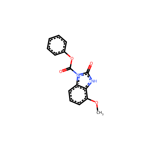 COc1cccc2c1[nH]c(=O)n2C(=O)Oc1ccccc1